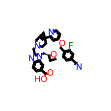 CC12CN(Cc3nc4ccc(C(=O)O)cc4n3C[C@@H]3CCO3)CCC1(c1cc(OCc3ccc(C#N)cc3F)ccn1)C2